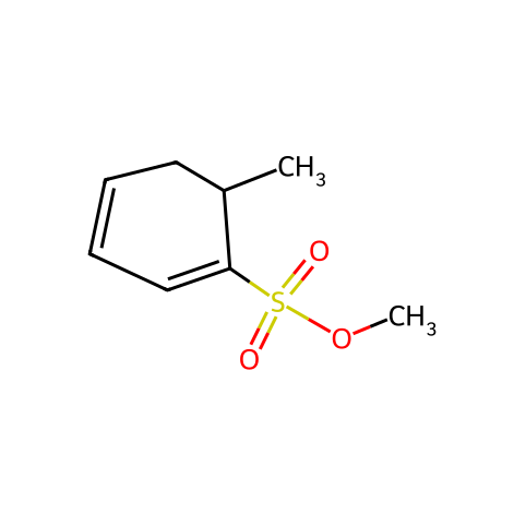 COS(=O)(=O)C1=CC=CCC1C